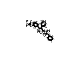 O=C(Cc1ccccc1)Nc1onc(-c2cccc(OC(F)(F)F)c2)c1-c1ccncc1